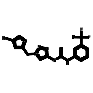 O=C([N-]c1c[n+](Cc2cc(Br)cs2)no1)Nc1cccc(C(F)(F)F)c1